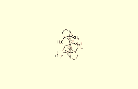 CC1(C)C2CCC1(C)C(C(CCCC(=O)O)(C(=O)O)C1CC3CCC1(C)C3(C)C)C2